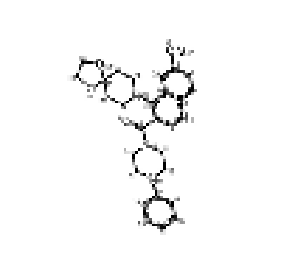 COc1ccc2ncc(C(=O)N3CCN(c4ccccc4)CC3)c(N3CCC4(CC3)OCCO4)c2c1